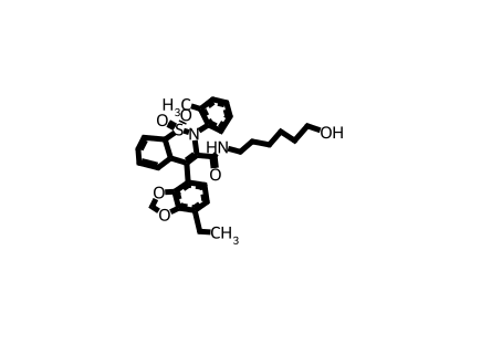 CCc1ccc(C2=C(C(=O)NCCCCCCO)N(c3ccccc3C)S(=O)(=O)C3C=CC=CC23)c2c1OCO2